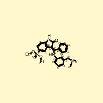 CCOP(=O)(OCC)c1ccc2c(c1)C(=C(Nc1cccc(CN(C)C)c1)c1ccccc1)C(=O)N2